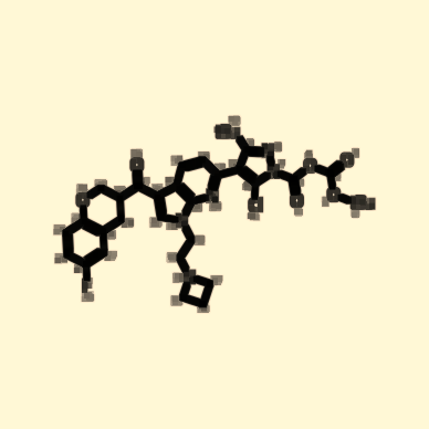 CC(C)(C)OC(=O)OC(=O)n1nc(C(C)(C)C)c(-c2ccc3c(C(=O)C4COc5ccc(F)cc5C4)cn(CCN4CCC4)c3n2)c1Cl